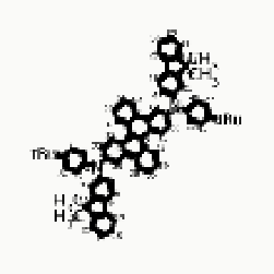 CC(C)(C)c1ccc(N(c2ccc3c(c2)C(C)(C)C2=C3CCC=C2)c2ccc3c(c2)c2ccccc2c2c4ccc(N(c5ccc(C(C)(C)C)cc5)c5ccc6c(c5)C(C)(C)c5ccccc5-6)cc4c4ccccc4c32)cc1